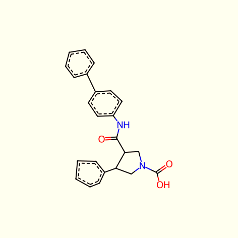 O=C(Nc1ccc(-c2ccccc2)cc1)C1CN(C(=O)O)CC1c1ccccc1